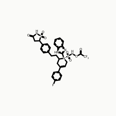 O=C1CC(c2ccc(CCC3CC(c4ccc(F)cc4)=CC[N+]3(c3nc4ccccc4[nH]3)S(=O)(=O)NOC(=O)C(F)(F)F)cc2)S(=O)(=O)N1